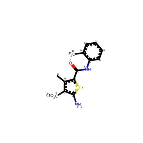 CCOC(=O)c1c(N)sc(C(=O)Nc2ccccc2C(F)(F)F)c1C